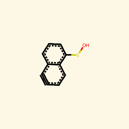 OSc1cccc2c#cccc12